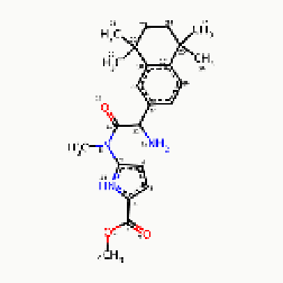 COC(=O)c1ccc(N(C)C(=O)C(N)c2ccc3c(c2)C(C)(C)CCC3(C)C)[nH]1